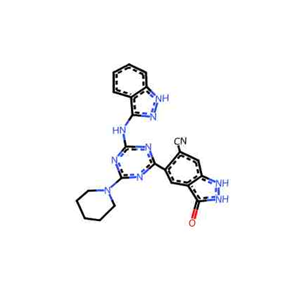 N#Cc1cc2[nH][nH]c(=O)c2cc1-c1nc(Nc2n[nH]c3ccccc23)nc(N2CCCCC2)n1